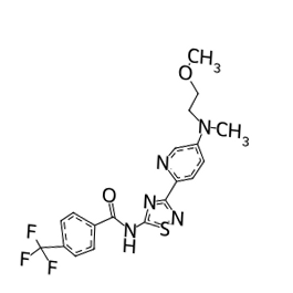 COCCN(C)c1ccc(-c2nsc(NC(=O)c3ccc(C(F)(F)F)cc3)n2)nc1